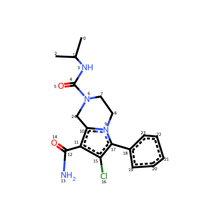 CC(C)NC(=O)N1CCn2c(c(C(N)=O)c(Cl)c2-c2ccccc2)C1